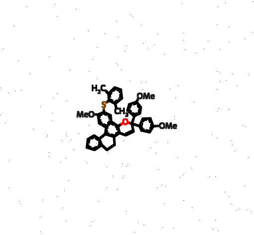 COc1ccc(C2(c3ccc(OC)cc3)C=Cc3c4c(c5cc(OC)c(Sc6c(C)cccc6C)cc5c3O2)-c2ccccc2CC4)cc1